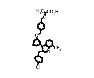 CC(OCc1ccc(COc2cccc(-c3c(Cc4ccc(Cl)cc4)cnc4c(C(F)(F)F)cccc34)c2)cc1)C(=O)O